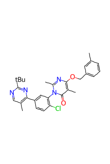 Cc1cccc(COc2nc(C)n(-c3cc(-c4nc(C(C)(C)C)ncc4C)ccc3Cl)c(=O)c2C)c1